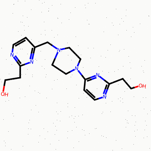 OCCc1nccc(CN2CCN(c3ccnc(CCO)n3)CC2)n1